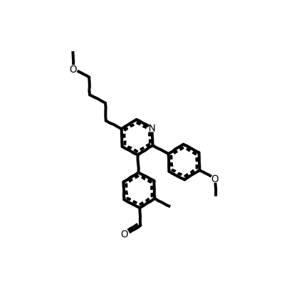 COCCCCc1cnc(-c2ccc(OC)cc2)c(-c2ccc(C=O)c(C)c2)c1